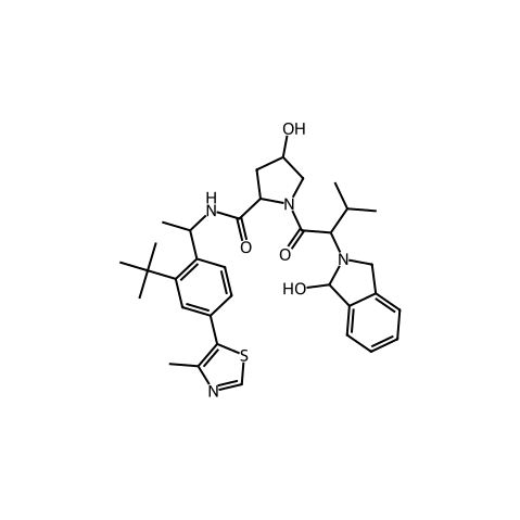 Cc1ncsc1-c1ccc(C(C)NC(=O)C2CC(O)CN2C(=O)C(C(C)C)N2Cc3ccccc3C2O)c(C(C)(C)C)c1